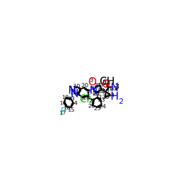 C[C@@H]1C(=O)N(c2ccc3c(cnn3-c3ccc(F)cc3)c2)[C@@H](c2ccccc2Cl)[C@@H]1C1(C(N)=O)CC1